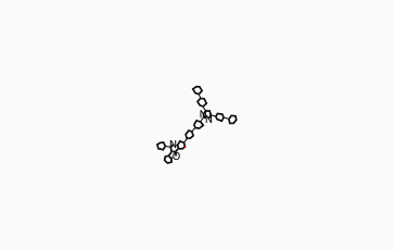 c1ccc(-c2ccc(-c3cc(-c4ccc(-c5ccccc5)cc4)nc(-c4ccc(-c5ccc(-c6ccc7c(c6)nc(-c6ccccc6)c6c8ccccc8oc76)cc5)cc4)n3)cc2)cc1